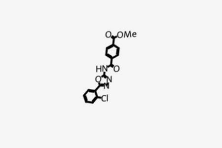 COC(=O)c1ccc(C(=O)Nc2nnc(-c3ccccc3Cl)o2)cc1